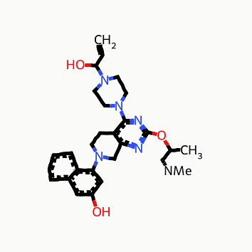 C=CC(O)N1CCN(c2nc(OC(C)CNC)nc3c2CCN(c2cc(O)cc4ccccc24)C3)CC1